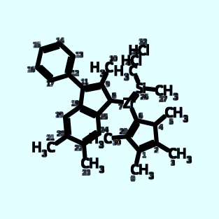 CC1=C(C)C(C)[C]([Zr]([CH]2C(C)=C(c3ccccc3)c3cc(C)c(C)cc32)=[Si](C)C)=C1C.Cl.Cl